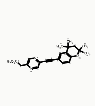 CCOC(=O)Cc1cnc(C#Cc2ccc3c(c2)C(C)(C)CC(C)(C)O3)cn1